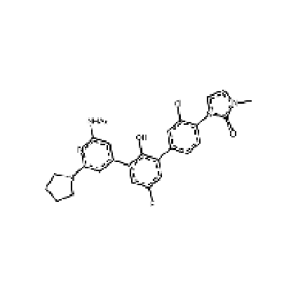 CC(=O)Nc1cc(-c2cc(F)cc(-c3ccc(-n4ccn(C)c4=O)c(Cl)c3)c2O)cc(N2CCCC2)n1